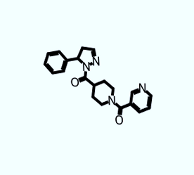 O=C(c1cccnc1)N1CCC(C(=O)N2N=CCC2c2ccccc2)CC1